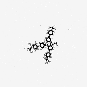 CC(C)(C)c1ccc(-c2ccc(N(c3ccc(-c4ccc(C(C)(C)C)cc4)cc3)c3cc(-c4ccc(C(C)(C)C)cc4)ccc3N)cc2)cc1